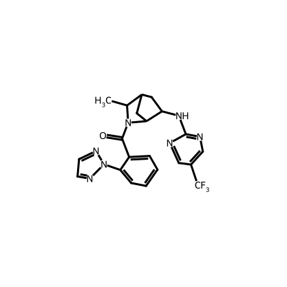 CC1C2CC(Nc3ncc(C(F)(F)F)cn3)C(C2)N1C(=O)c1ccccc1-n1nccn1